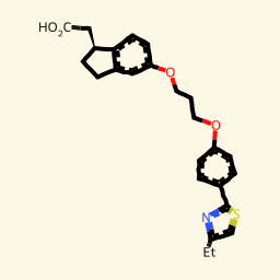 CCc1csc(-c2ccc(OCCCOc3ccc4c(c3)CC[C@H]4CC(=O)O)cc2)n1